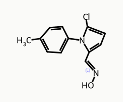 Cc1ccc(-n2c(Cl)ccc2/C=N/O)cc1